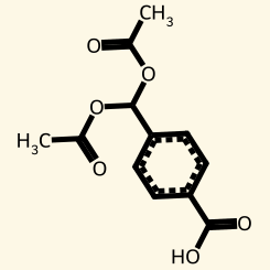 CC(=O)OC(OC(C)=O)c1ccc(C(=O)O)cc1